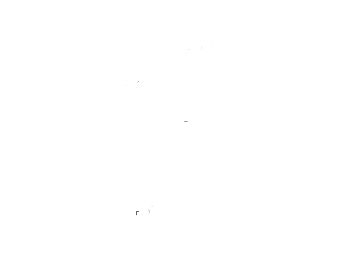 CCCC1(c2ccc(OC)cc2)CCCc2cc(OC)ccc2C1